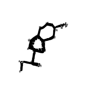 COC(=O)c1ccc2c(c1)C[C@H](N)CC2